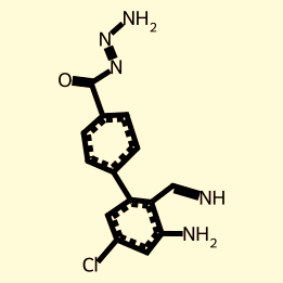 N=Cc1c(N)cc(Cl)cc1-c1ccc(C(=O)N=NN)cc1